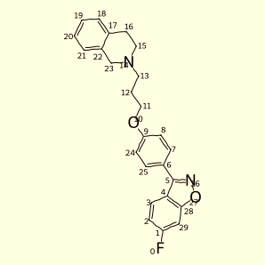 Fc1ccc2c(-c3ccc(OCCCN4CCc5ccccc5C4)cc3)noc2c1